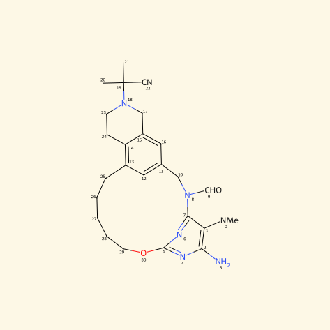 CNc1c(N)nc2nc1N(C=O)Cc1cc(c3c(c1)CN(C(C)(C)C#N)CC3)CCCCCO2